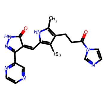 Cc1[nH]c(C=C2C(=O)NN=C2c2cnccn2)c(C(C)(C)C)c1CCC(=O)n1ccnc1